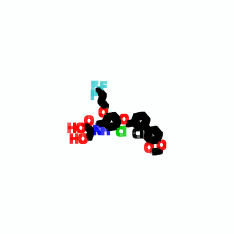 Cc1c(COc2cc(OCCCC(F)(F)F)c(CNC(CO)C(=O)O)cc2Cl)cccc1-c1ccc2c(c1)OCCO2